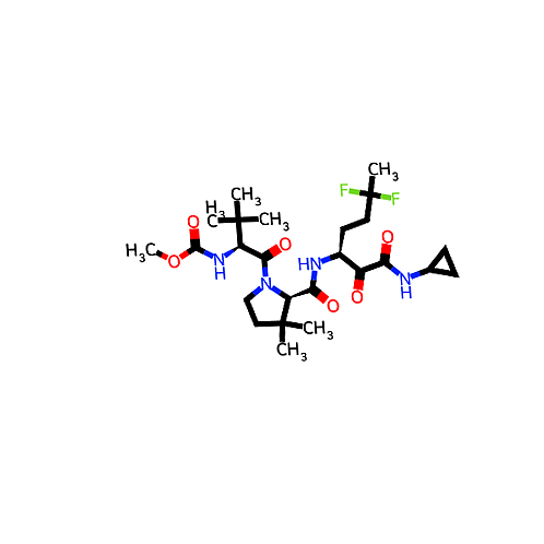 COC(=O)N[C@H](C(=O)N1CCC(C)(C)[C@@H]1C(=O)N[C@@H](CCC(C)(F)F)C(=O)C(=O)NC1CC1)C(C)(C)C